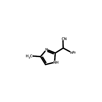 CCCC(C#N)c1nc(C)c[nH]1